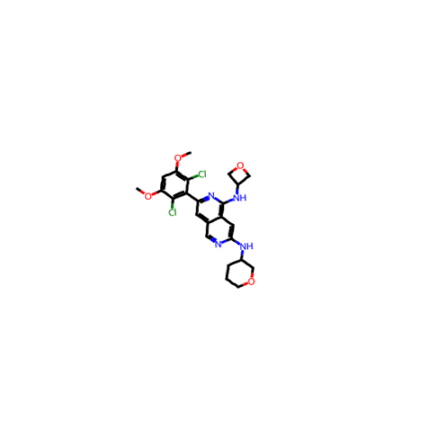 COc1cc(OC)c(Cl)c(-c2cc3cnc(NC4CCCOC4)cc3c(NC3COC3)n2)c1Cl